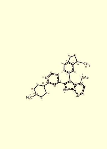 COc1ccnc2[nH]c(-c3ccnc(N4CCN(C)CC4)c3)c(-c3ccc4c(c3)N(C)CC4)c12